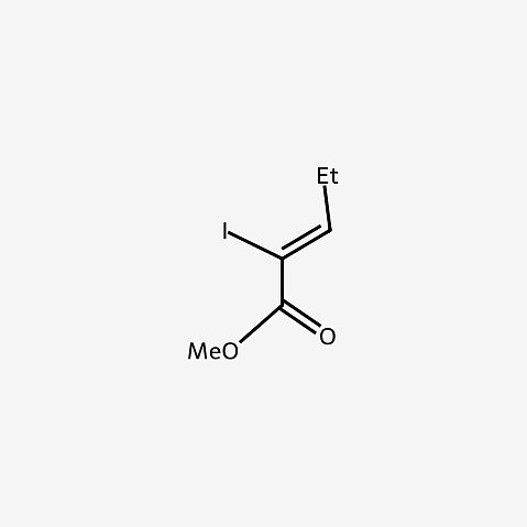 CCC=C(I)C(=O)OC